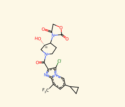 O=C(c1nc2c(C(F)(F)F)cc(C3CC3)cn2c1Cl)N1CCC(N2C(=O)COC2=O)[C@@H](O)C1